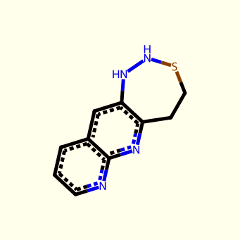 c1cnc2nc3c(cc2c1)NNSCC3